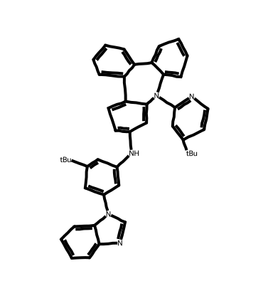 CC(C)(C)c1cc(Nc2ccc3c(c2)N(c2cc(C(C)(C)C)ccn2)c2ccccc2-c2ccccc2-3)cc(-n2cnc3ccccc32)c1